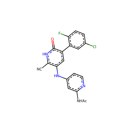 CC(=O)Nc1cc(Nc2cc(-c3cc(Cl)ccc3F)c(=O)[nH]c2C#N)ccn1